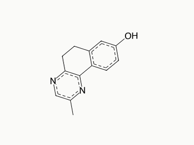 Cc1cnc2c(n1)-c1ccc(O)cc1CC2